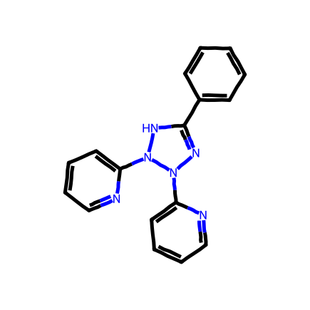 c1ccc(C2=NN(c3ccccn3)N(c3ccccn3)N2)cc1